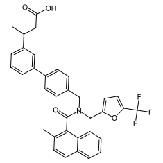 Cc1ccc2ccccc2c1C(=O)N(Cc1ccc(-c2cccc(C(C)CC(=O)O)c2)cc1)Cc1ccc(C(F)(F)F)o1